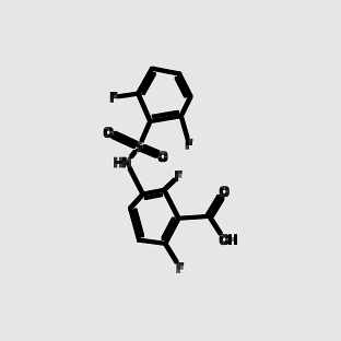 O=C(O)c1c(F)ccc(NS(=O)(=O)c2c(F)cccc2F)c1F